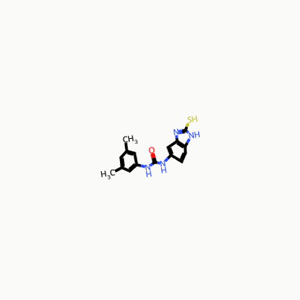 Cc1cc(C)cc(NC(=O)Nc2ccc3[nH]c(S)nc3c2)c1